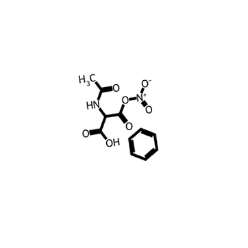 CC(=O)NC(C(=O)O)C(=O)O[N+](=O)[O-].c1ccccc1